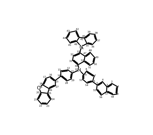 c1ccc2cc(-c3ccc(N(c4ccc(-c5ccc6oc7ccccc7c6c5)cc4)c4ccc(-n5c6ccccc6c6ccccc65)c5ccccc45)cc3)ccc2c1